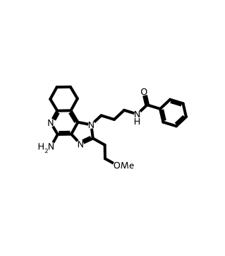 COCCc1nc2c(N)nc3c(c2n1CCCNC(=O)c1ccccc1)CCCC3